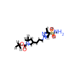 Cc1nn(CCCC2CN(C(=O)OC(C)(C)C)C(C)(C)C2)cc1S(N)(=O)=O